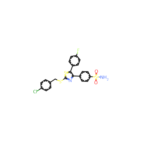 NS(=O)(=O)c1ccc(-c2nc(SCc3ccc(Cl)cc3)sc2-c2ccc(F)cc2)cc1